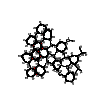 COc1ccc2c(c1)N1c3ccccc3B(c3c(-c4ccccc4)cccc3-c3ccccc3)c3cc4c5c(c31)B2c1cc2c(cc1N5c1ccccc1B4c1c(-c3ccccc3)cccc1-c1ccccc1)Oc1ccccc1B2c1c(C(C)C)cc(C(C)C)cc1C(C)C